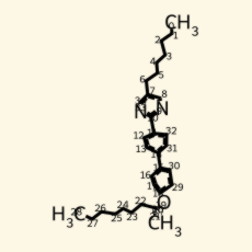 CCCCCCCc1cnc(-c2ccc(-c3ccc(O[C@H](C)CCCCCCC)cc3)cc2)nc1